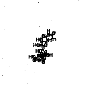 Cc1cn([C@@H]2O[C@H](C(O)OP(=O)(O)OP(=O)(O)OP(=O)(O)O)[C@@H](O)[C@@H]2O)c(=O)[nH]c1=O